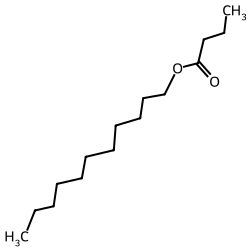 CCCCCCCCCCCOC(=O)CCC